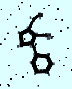 CCSc1cnn(-c2ccncc2)c1N